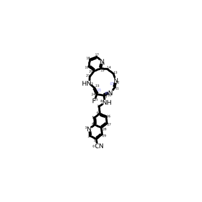 N#Cc1cnc2cc(CNC3=N/C=N\CCc4ncccc4CN\C=C\3F)ccc2c1